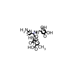 CC1=C(C(=O)O)N2C(=O)[C@@H](NC(=O)/C(=N\OCc3cc(=O)c(O)cn3O)c3csc(N)n3)[C@H]2SC1